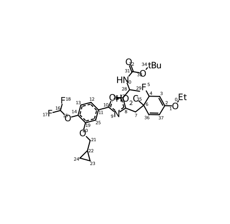 CCOC1=CC(F)C(Cc2nc(-c3ccc(OC(F)F)c(OCC4CC4)c3)oc2C(C)NC(=O)OC(C)(C)C)(C(=O)O)C=C1